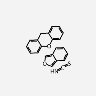 N=C=S.c1ccc2c(c1)Cc1ccccc1O2.c1ccc2cocc2c1